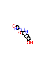 COc1ccc(NC(=O)C2CC3Cc4cc(O)ccc4CC3N(C)C2)cn1